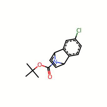 CC(C)(C)OC(=O)N1C2=C=CC1c1ccc(Cl)cc12